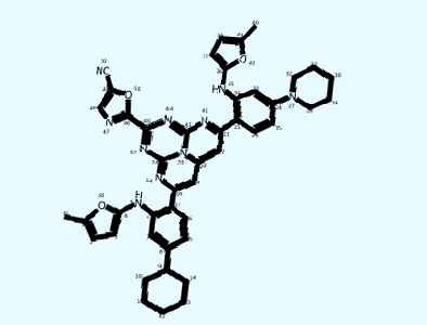 Cc1ccc(Nc2cc(C3CCCCC3)ccc2C2=CC3=CC(c4ccc(N5CCCCC5)cc4Nc4ccc(C)o4)=NC4=NC(c5ncc(C#N)o5)=NC(=N2)N34)o1